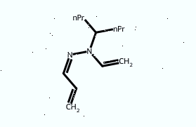 C=C/C=N\N(C=C)C(CCC)CCC